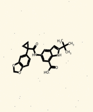 CC(C)(C)c1cc2cc(NC(=O)C3(c4ccc5c(c4)OCO5)CC3)cc(C(=O)O)c2[nH]1